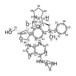 C[Si](C[C@H]1O[P@](O[C@@H]2C[C@H](n3cnc4c(NB5BC5)ncnc43)O[C@@H]2CO)N2CCC[C@@H]12)(c1ccccc1)c1ccccc1